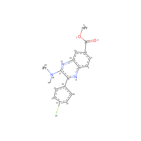 CCCOC(=O)c1ccc2nc(-c3ccc(F)cc3)c(N(C)C(C)C)nc2c1